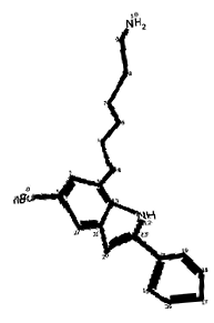 CCCCc1cc(CCCCCCN)c2[nH]c(-c3ccccc3)cc2c1